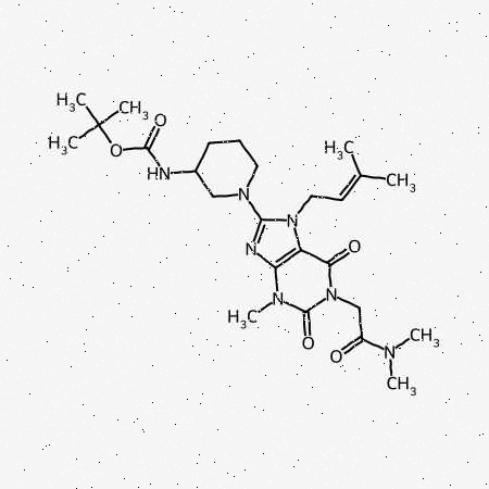 CC(C)=CCn1c(N2CCCC(NC(=O)OC(C)(C)C)C2)nc2c1c(=O)n(CC(=O)N(C)C)c(=O)n2C